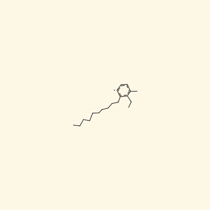 CCCCCCCCCCc1[c]ccc(C)c1CC